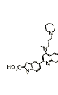 CN(CCCN1CCCCC1)c1cc(-c2ccc3c(c2)cc(C(=O)O)n3C)nc2ccncc12